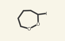 IC1CCCCOO1